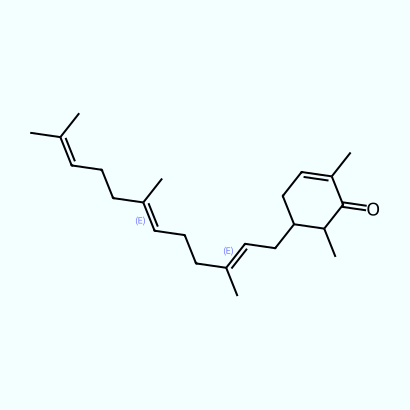 CC(C)=CCC/C(C)=C/CC/C(C)=C/CC1CC=C(C)C(=O)C1C